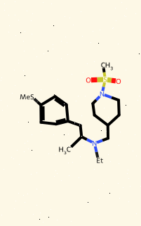 CCN(CC1CCN(S(C)(=O)=O)CC1)C(C)Cc1ccc(SC)cc1